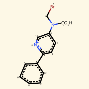 O=C(O)N(CBr)c1ccc(-c2ccccc2)nc1